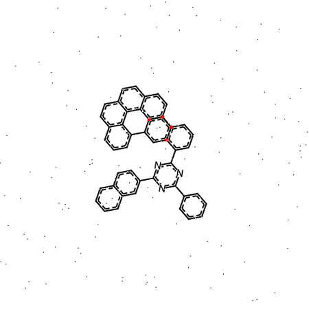 c1ccc(-c2nc(-c3cccc(-c4ccc5ccc6ccc7cccc(-c8ccccc8)c7c6c5c4)c3)nc(-c3ccc4ccccc4c3)n2)cc1